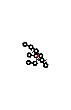 c1ccc(-c2cccc(N(c3cccc(-c4ccccc4-n4c5cc(-c6ccccc6)ccc5c5ccc(-c6ccccc6)cc54)c3)c3ccc4sc5ccccc5c4c3)c2)cc1